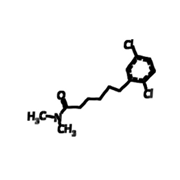 CN(C)C(=O)CCCCCc1cc(Cl)ccc1Cl